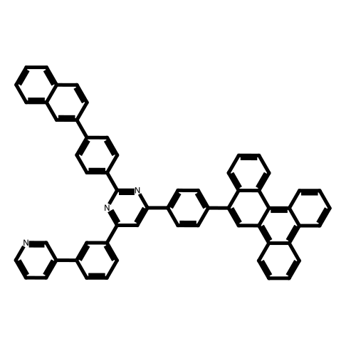 c1cncc(-c2cccc(-c3cc(-c4ccc(-c5cc6c7ccccc7c7ccccc7c6c6ccccc56)cc4)nc(-c4ccc(-c5ccc6ccccc6c5)cc4)n3)c2)c1